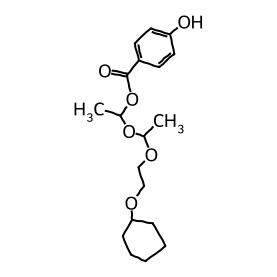 CC(OCCOC1CCCCC1)OC(C)OC(=O)c1ccc(O)cc1